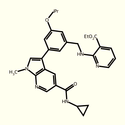 CCOC(=O)c1cccnc1NCc1cc(OC(C)C)cc(-c2cn(C)c3ncc(C(=O)NC4CC4)cc23)c1